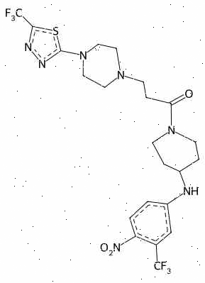 O=C(CCN1CCN(c2nnc(C(F)(F)F)s2)CC1)N1CCC(Nc2ccc([N+](=O)[O-])c(C(F)(F)F)c2)CC1